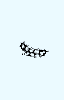 CC(=O)C(c1c(O)c2ccccc2oc1=O)c1c(O)c2ccccc2oc1=O